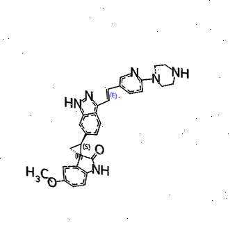 COc1ccc2c(c1)[C@]1(C[C@H]1c1ccc3c(/C=C/c4ccc(N5CCNCC5)nc4)n[nH]c3c1)C(=O)N2